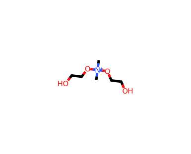 C[N+](C)(OCCO)OCCO